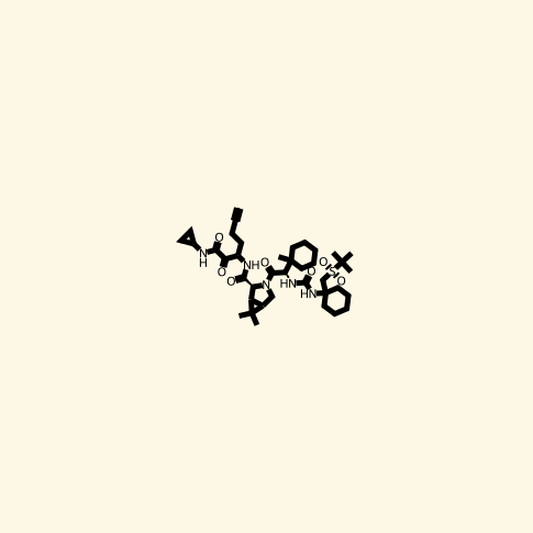 C#CCCC(NC(=O)[C@@H]1C2C(CN1C(=O)[C@@H](NC(=O)NC1(CS(=O)(=O)C(C)(C)C)CCCCC1)C1(C)CCCCC1)C2(C)C)C(=O)C(=O)NC1CC1